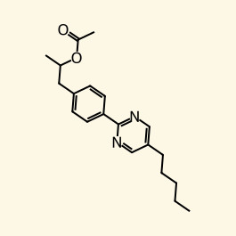 CCCCCc1cnc(-c2ccc(CC(C)OC(C)=O)cc2)nc1